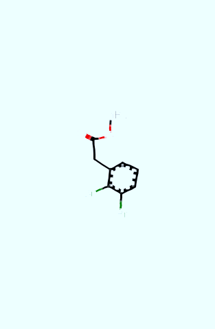 CCCCOC(=O)Cc1cccc(Br)c1Br